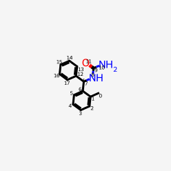 Cc1ccccc1[C](NC(N)=O)c1ccccc1